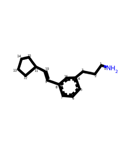 NCCCc1cccc(C=CC2CCCC2)c1